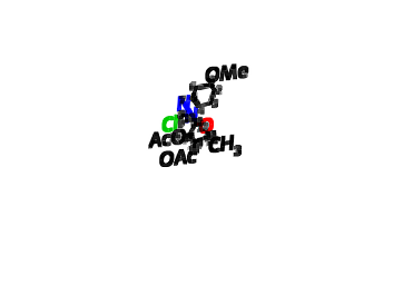 COc1ccc2c(c1)nc(Cl)n2[C@@H]1O[C@H](C)[C@@H](OC(C)=O)[C@H]1OC(C)=O